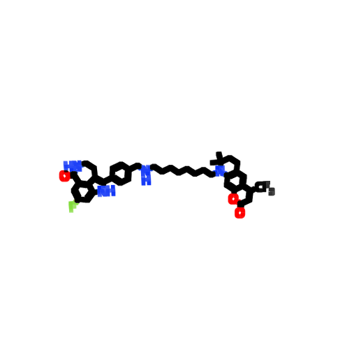 CC1(C)CCc2cc3c(C(F)(F)F)cc(=O)oc3cc2N1CCCCCCCCNCc1ccc(-c2[nH]c3cc(F)cc4c3c2CCNC4=O)cc1